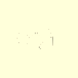 CC(C)(C)C(=O)OC1CCSC1